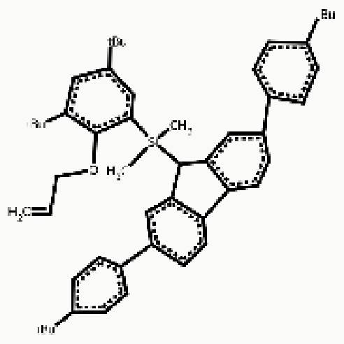 C=CCOc1c(C(C)(C)C)cc(C(C)(C)C)cc1[Si](C)(C)C1c2cc(-c3ccc(C(C)CC)cc3)ccc2-c2ccc(-c3ccc(C(C)CC)cc3)cc21